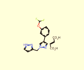 FC(F)Oc1cccc(-c2cnn(Cc3cc[nH]n3)c2)c1.O=C(O)C=CC(=O)O